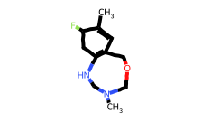 CC1=CC2=C(CC1F)NCN(C)COC2